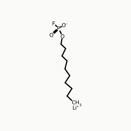 CCCCCCCCCCOP(=O)([O-])F.[Li+]